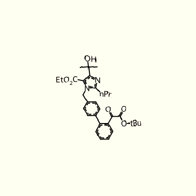 CCCc1nc(C(C)(C)O)c(C(=O)OCC)n1Cc1ccc(-c2ccccc2C(=O)C(=O)OC(C)(C)C)cc1